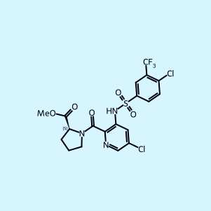 COC(=O)[C@@H]1CCCN1C(=O)c1ncc(Cl)cc1NS(=O)(=O)c1ccc(Cl)c(C(F)(F)F)c1